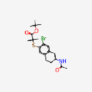 CC(=O)NC1CCc2cc(SC(C)(C)C(=O)OC(C)(C)C)c(Br)cc2C1